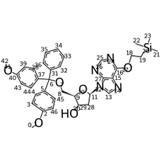 COc1ccc(C(OC[C@H]2O[C@@H](n3cnc4c(OCC[Si](C)(C)C)ncnc43)C[C@H]2O)(c2ccccc2)c2ccc(OC)cc2)cc1